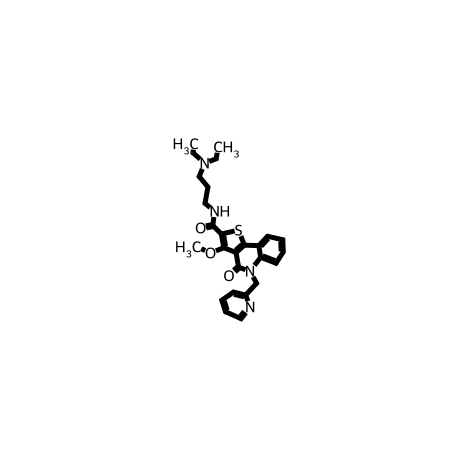 CCN(CC)CCCNC(=O)c1sc2c(c1OC)c(=O)n(Cc1ccccn1)c1ccccc21